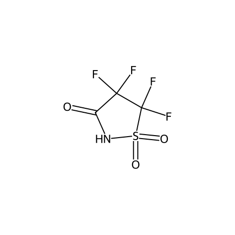 O=C1NS(=O)(=O)C(F)(F)C1(F)F